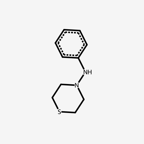 c1ccc(NN2CCSCC2)cc1